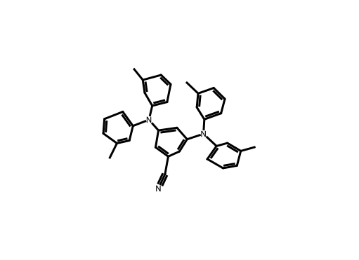 Cc1cccc(N(c2cccc(C)c2)c2cc(C#N)cc(N(c3cccc(C)c3)c3cccc(C)c3)c2)c1